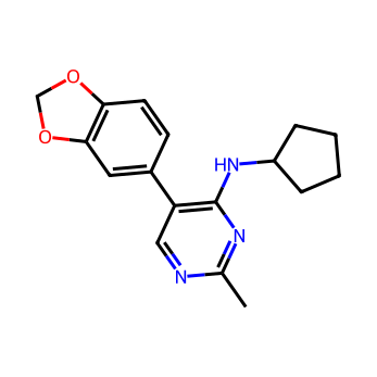 Cc1ncc(-c2ccc3c(c2)OCO3)c(NC2CCCC2)n1